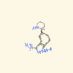 Nc1n[nH]c2ccc([C@@H]3CCCCN3)cc12